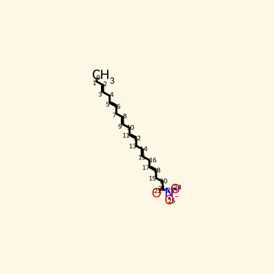 CC/C=C/C/C=C/C/C=C/C/C=C/C/C=C/C/C=C/CCC(=O)[N+](=O)[O-]